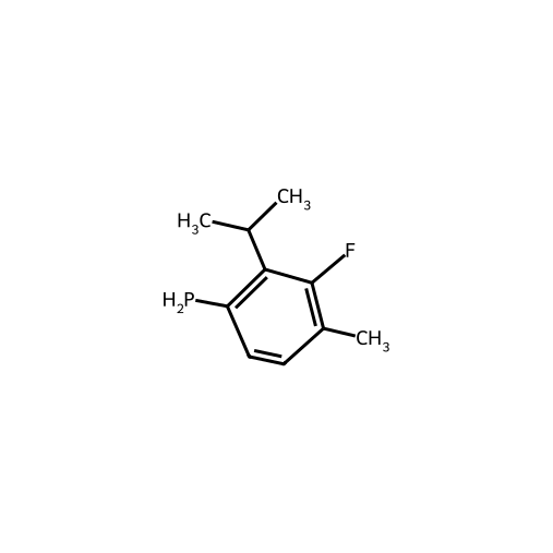 Cc1ccc(P)c(C(C)C)c1F